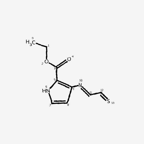 CCOC(=O)c1[nH]ccc1N=CC=S